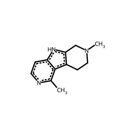 Cc1nccc2[nH]c3c(c12)CCN(C)C3